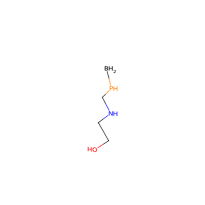 BPCNCCO